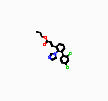 CCCOC(=O)C=Cc1cccc(-c2ccc(Cl)cc2Cl)c1-n1ccnc1